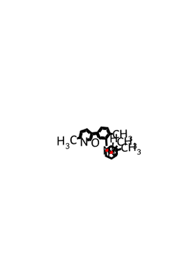 Cc1ccc2c(n1)oc1c(N3C4CCC(CC4)N(C)[C@@H]3C)c(C)ccc12